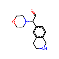 O=CC(c1ccc2c(c1)CCNC2)N1CCOCC1